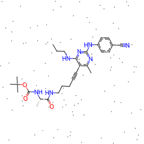 CCCNc1nc(Nc2ccc(C#N)cc2)nc(C)c1C#CCCCNC(=O)[C@H](C)NC(=O)OC(C)(C)C